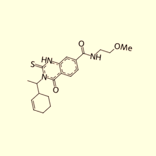 COCCNC(=O)c1ccc2c(=O)n(C(C)C3C=CCCC3)c(=S)[nH]c2c1